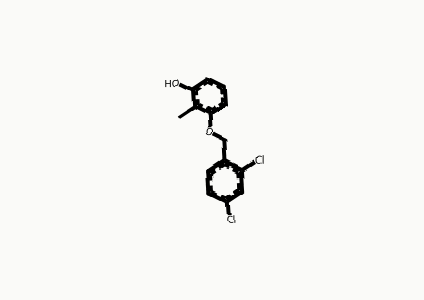 Cc1c(O)cccc1OCc1ccc(Cl)cc1Cl